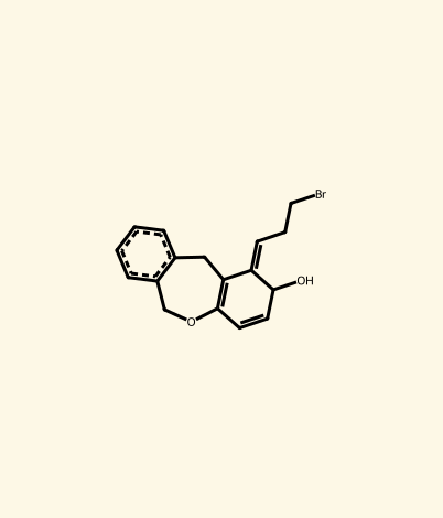 OC1C=CC2=C(Cc3ccccc3CO2)C1=CCCBr